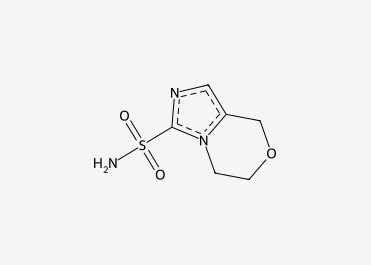 NS(=O)(=O)c1ncc2n1CCOC2